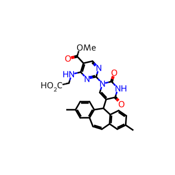 COC(=O)c1cnc(-n2cc(C3c4ccc(C)cc4C=Cc4cc(C)ccc43)c(=O)[nH]c2=O)nc1NCC(=O)O